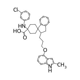 Cc1cc2c(OCCCC3Cc4ccccc4C34CCC(Nc3cccc(Cl)c3)(C(=O)O)CC4)cccc2[nH]1